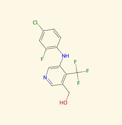 OCc1cncc(Nc2ccc(Cl)cc2F)c1C(F)(F)F